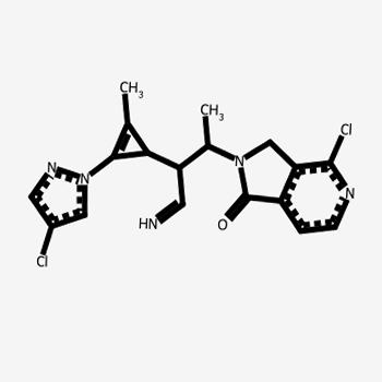 CC1=C(n2cc(Cl)cn2)C1C(C=N)C(C)N1Cc2c(ccnc2Cl)C1=O